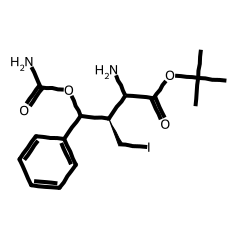 CC(C)(C)OC(=O)C(N)[C@@H](CI)C(OC(N)=O)c1ccccc1